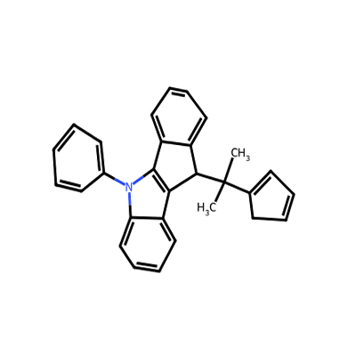 CC(C)(C1=CC=CC1)C1c2ccccc2-c2c1c1ccccc1n2-c1ccccc1